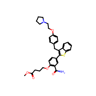 COC(=O)CCCOc1ccc(-c2sc3ccccc3c2Cc2ccc(OCCN3CCCC3)cc2)cc1C(N)=O